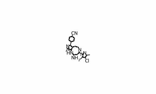 Cc1nn(-c2cc(N)[nH]c3c(ccn2)c(-c2ccc(C#N)cc2)nn3C)c(C)c1Cl